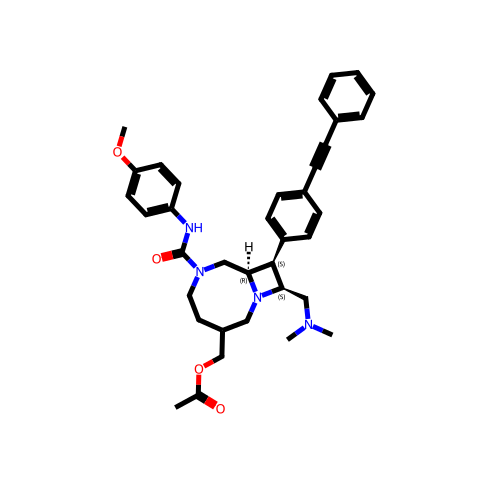 COc1ccc(NC(=O)N2CCC(COC(C)=O)CN3[C@H](CN(C)C)[C@H](c4ccc(C#Cc5ccccc5)cc4)[C@@H]3C2)cc1